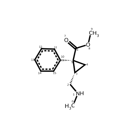 CNC[C@H]1C[C@@]1(C(=O)OC)c1ccccc1